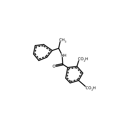 CC(NC(=O)c1ccc(C(=O)O)cc1C(=O)O)c1ccccc1